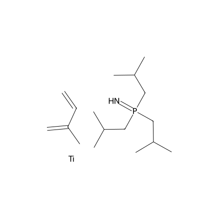 C=CC(=C)C.CC(C)CP(=N)(CC(C)C)CC(C)C.[Ti]